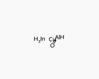 [Cu].[InH3].[O]=[AlH]